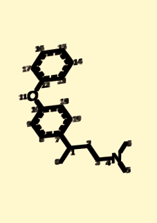 CC(CCN(C)C)c1ccc(Oc2ccccc2)cc1